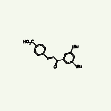 CC(C)(C)c1cc(C(=O)/C=C/c2ccc(C(=O)O)cc2)cc(C(C)(C)C)c1